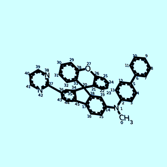 CN(c1ccc(-c2ccccc2)cc1)c1ccc2c(c1)C1(c3ccccc3Oc3ccccc31)c1cc(-c3ncccn3)ccc1-2